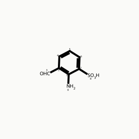 Nc1c(C=O)cccc1S(=O)(=O)O